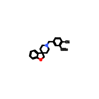 COc1cc(CN2CCC3(CC2)COc2ccccc23)ccc1C#N